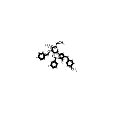 CC[C@H]1O[C@@H](c2cc(Cc3ccc(C)cc3)c(Cl)s2)[C@H](OCc2ccccc2)[C@@H](OCc2ccccc2)[C@@H]1C